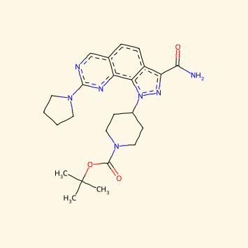 CC(C)(C)OC(=O)N1CCC(n2nc(C(N)=O)c3ccc4cnc(N5CCCC5)nc4c32)CC1